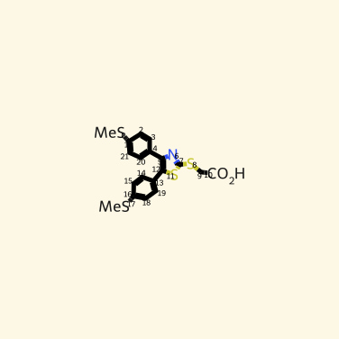 CSc1ccc(-c2nc(SCC(=O)O)sc2-c2ccc(SC)cc2)cc1